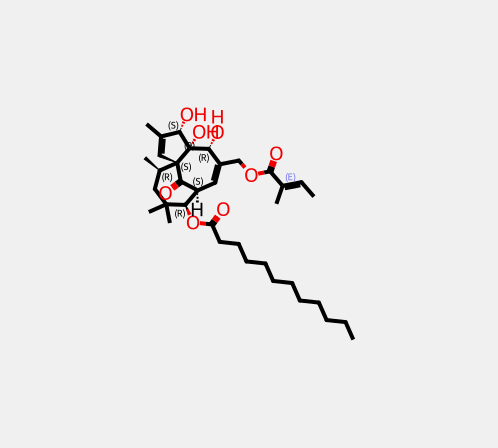 C/C=C(\C)C(=O)OCC1=C[C@@H]2C(=O)[C@]3(C=C(C)[C@H](O)[C@@]3(O)[C@@H]1O)[C@H](C)CC(C)(C)[C@@H]2OC(=O)CCCCCCCCCCC